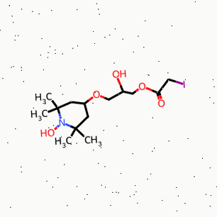 CC1(C)CC(OCC(O)COC(=O)CI)CC(C)(C)N1O